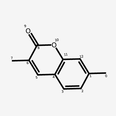 Cc1ccc2cc(C)c(=O)oc2c1